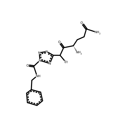 CC[C](C(=O)[C@@H](N)CCC(N)=O)c1nnn(C(=O)NCc2ccccc2)n1